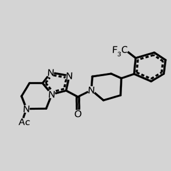 CC(=O)N1CCc2nnc(C(=O)N3CCC(c4ccccc4C(F)(F)F)CC3)n2C1